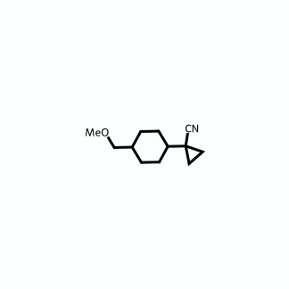 COCC1CCC(C2(C#N)CC2)CC1